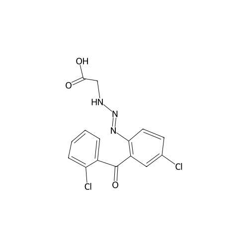 O=C(O)CNN=Nc1ccc(Cl)cc1C(=O)c1ccccc1Cl